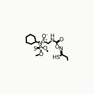 CCC(S)=NOC(=O)NC[S+]([O-])N(C1CCCCC1)P(=S)(OC)OC